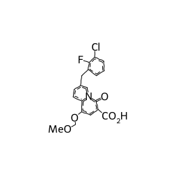 COCOc1cc(C(=O)O)c(=O)n2cc(Cc3cccc(Cl)c3F)ccc12